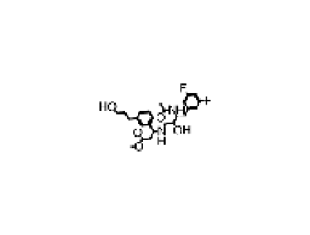 COC(=O)CC(NC[C@@H](O)[C@H](Cc1cc(F)cc(F)c1)NC(C)=O)c1cccc(CCCO)c1